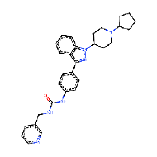 O=C(NCc1cccnc1)Nc1ccc(-c2nn(C3CCN(C4CCCC4)CC3)c3ccccc23)cc1